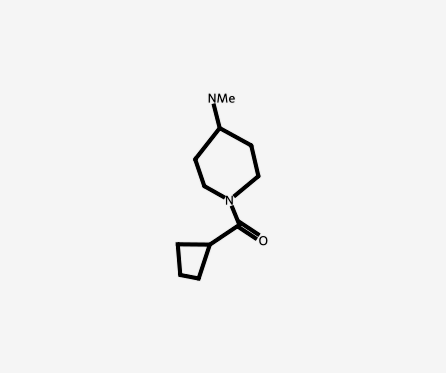 CNC1CCN(C(=O)C2CCC2)CC1